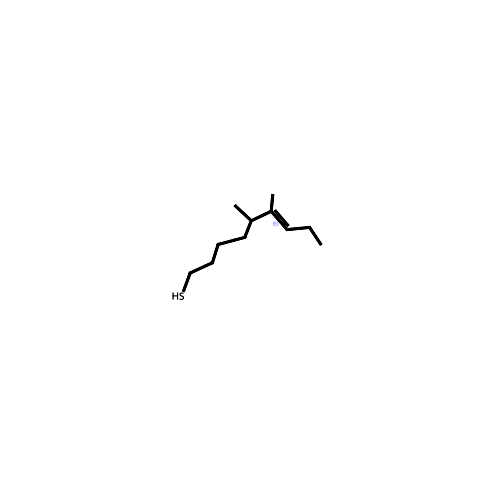 CC/C=C(\C)C(C)CCCCS